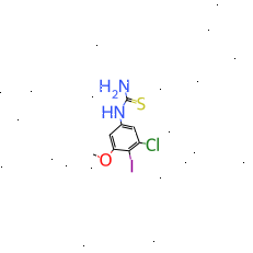 COc1cc(NC(N)=S)cc(Cl)c1I